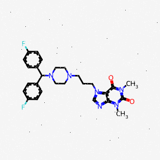 Cn1c(=O)c2c(ncn2CCCN2CCN(C(c3ccc(F)cc3)c3ccc(F)cc3)CC2)n(C)c1=O